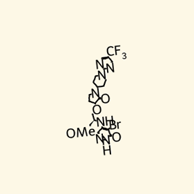 COC[C@@H](CO[C@@H]1CCN(C2CCN(c3ncc(C(F)(F)F)cn3)CC2)C1=O)Nc1cn[nH]c(=O)c1Br